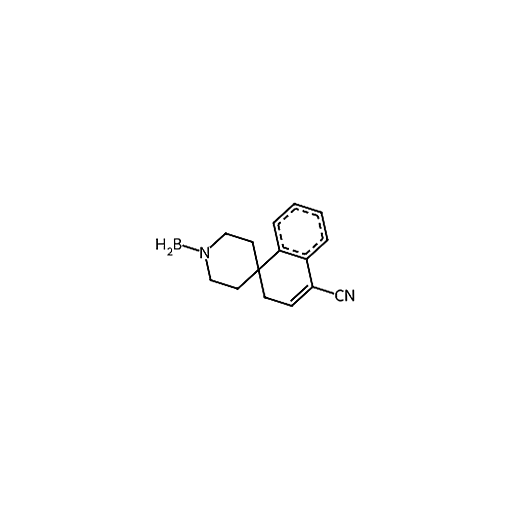 BN1CCC2(CC=C(C#N)c3ccccc32)CC1